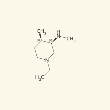 CCN1CC[C@@H](C)[C@@H](NC)C1